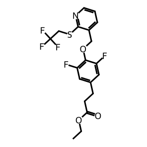 CCOC(=O)CCc1cc(F)c(OCc2cccnc2SCC(F)(F)F)c(F)c1